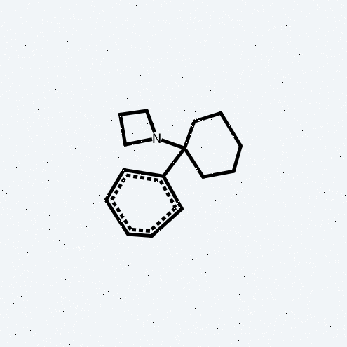 c1ccc(C2(N3CCC3)CCCCC2)cc1